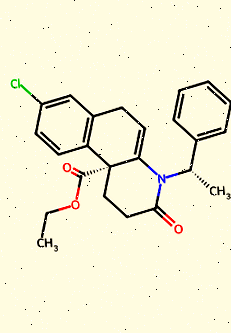 CCOC(=O)[C@@]12CCC(=O)N([C@@H](C)c3ccccc3)C1=CCc1cc(Cl)ccc12